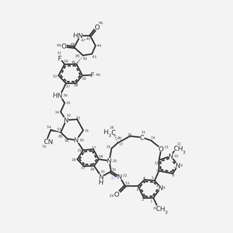 Cc1cc2cc(n1)-c1cnn(C)c1OCCC[C@@H](C)CN1/C(=N/C2=O)Nc2ccc(N3CCN(CCNc4cc(F)c([C@H]5CCC(=O)NC5=O)c(F)c4)[C@H](CC#N)C3)cc21